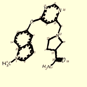 Cn1ccc2cc(Oc3cc(CN4CCC(C(N)=O)C4)ncn3)ccc21